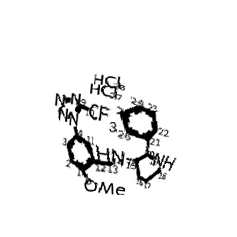 COc1ccc(-n2nnnc2C(F)(F)F)cc1CN[C@H]1CCCN[C@@H]1c1ccccc1.Cl.Cl